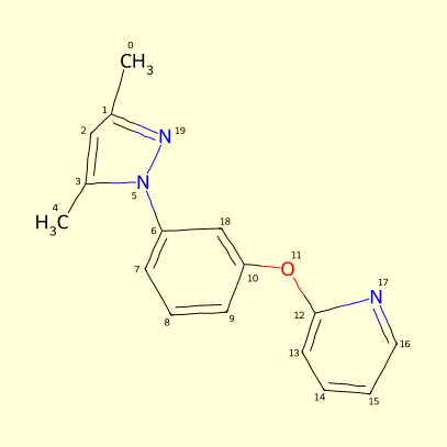 Cc1cc(C)n(-c2cccc(Oc3ccccn3)c2)n1